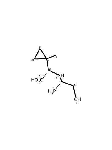 CC1([C@H](N[C@@H](P)CO)C(=O)O)CC1